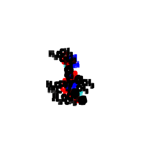 Cc1ccc(S(=O)(=O)n2c(C(=O)c3cnn(-c4ccc(Oc5ccccc5F)cc4C)c3N(C(=O)OC(C)(C)C)C(=O)OC(C)(C)C)cc3cc(F)c(NS(=O)(=O)NC(=O)OC(C)(C)C)cc32)cc1